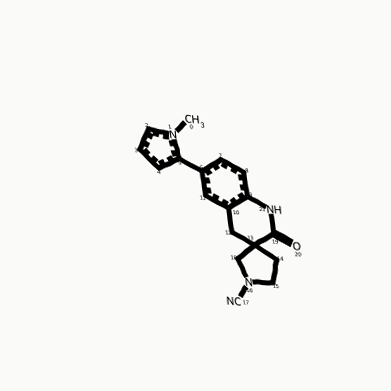 Cn1cccc1-c1ccc2c(c1)CC1(CCN(C#N)C1)C(=O)N2